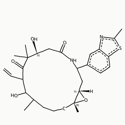 C=CC1C(=O)C(C)(C)[C@@H](O)CC(=O)NC(c2ccc3sc(C)nc3c2)C[C@@H]2O[C@]2(C)CCCC(C)C1O